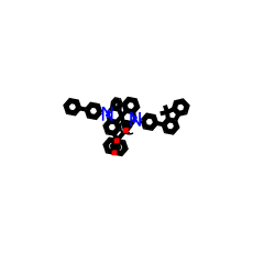 CC1(C)c2ccccc2-c2cccc(-c3ccc(N4c5ccccc5C5(c6ccccc6N(c6ccc(-c7ccccc7)cc6)c6ccc(-c7ccccc7)cc65)c5cc(-c6ccccc6)ccc54)cc3)c21